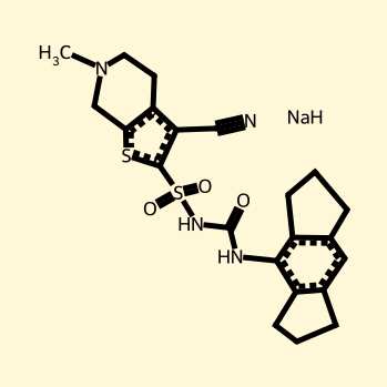 CN1CCc2c(sc(S(=O)(=O)NC(=O)Nc3c4c(cc5c3CCC5)CCC4)c2C#N)C1.[NaH]